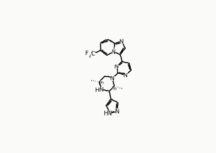 C[C@@H]1CN(c2nccc(-c3cnc4ccc(C(F)(F)F)cn34)n2)[C@H](C)C(c2cn[nH]c2)N1